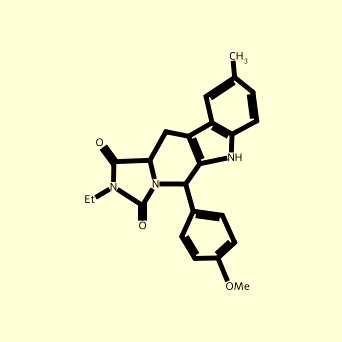 CCN1C(=O)C2Cc3c([nH]c4ccc(C)cc34)C(c3ccc(OC)cc3)N2C1=O